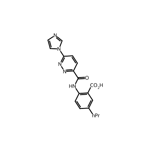 CCCc1ccc(NC(=O)c2ccc(-n3ccnc3)nn2)c(C(=O)O)c1